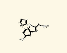 Cc1ccc2oc(CC(=O)O)nc2c1.c1cc[nH]c1